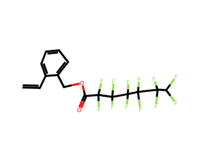 C=Cc1ccccc1COC(=O)C(F)(F)C(F)(F)C(F)(F)C(F)(F)C(F)(F)C(F)F